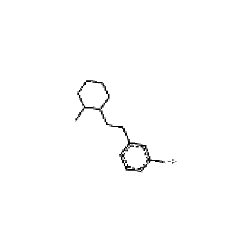 CC1CCCCC1CCc1cccc(C=O)c1